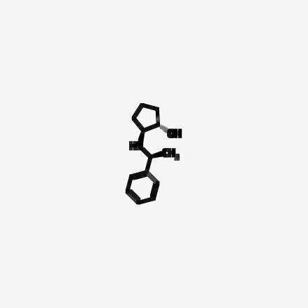 C[C@H](N[C@H]1CCC[C@@H]1O)c1ccccc1